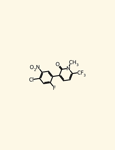 Cn1c(C(F)(F)F)ccc(-c2cc([N+](=O)[O-])c(Cl)cc2F)c1=O